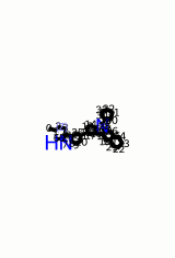 C=C/C=C\c1c(C)[nH]c2ccc(-c3ccc4c(c3)c3cc5ccccc5cc3n4-c3ccccc3)cc12